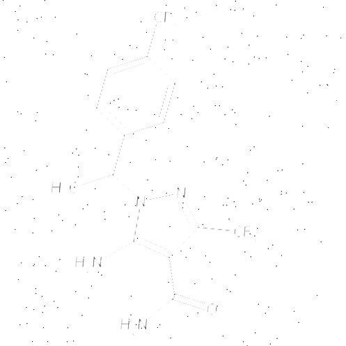 CC(c1ccc(C(F)(F)F)cc1)n1nc(C(F)(F)F)c(C(N)=O)c1N